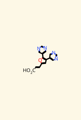 O=C(O)/C=C/c1cc(-c2cncnc2)c(-c2cncnc2)o1